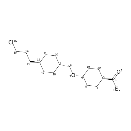 CCC(=O)[C@H]1CC[C@H](OC[C@H]2CC[C@H](CCCCl)CC2)CC1